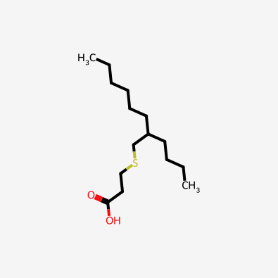 CCCCCCC(CCCC)CSCCC(=O)O